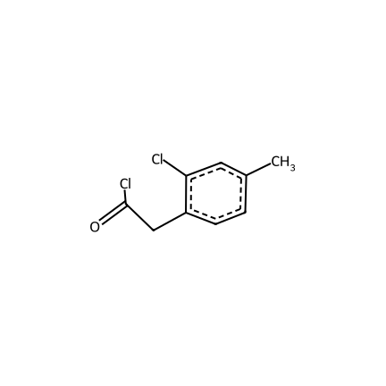 Cc1ccc(CC(=O)Cl)c(Cl)c1